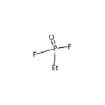 CCP(=O)(F)F